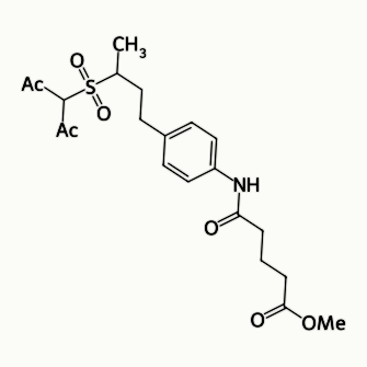 COC(=O)CCCC(=O)Nc1ccc(CCC(C)S(=O)(=O)C(C(C)=O)C(C)=O)cc1